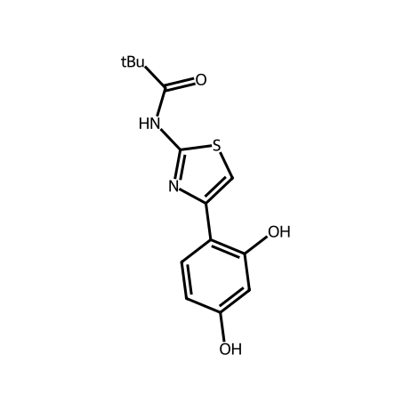 CC(C)(C)C(=O)Nc1nc(-c2ccc(O)cc2O)cs1